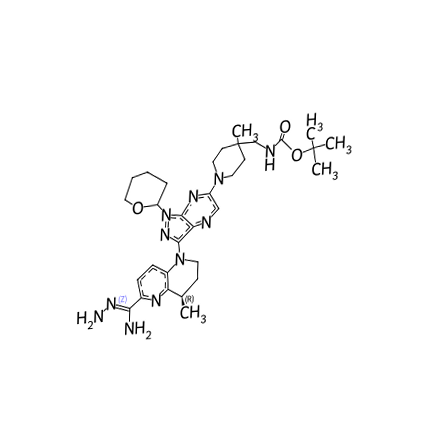 C[C@@H]1CCN(c2nn(C3CCCCO3)c3nc(N4CCC(C)(CNC(=O)OC(C)(C)C)CC4)cnc23)c2ccc(/C(N)=N/N)nc21